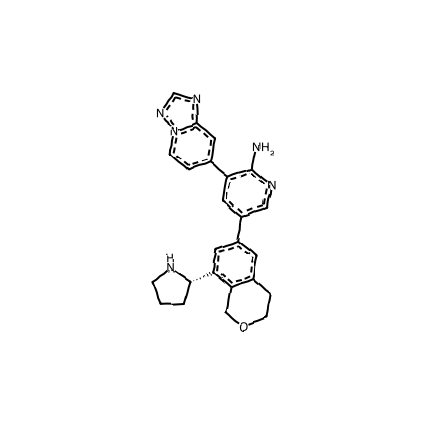 Nc1ncc(-c2cc3c(c([C@@H]4CCCN4)c2)COCC3)cc1-c1ccn2ncnc2c1